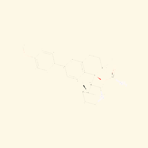 CCOc1ccc(-c2ccc3c(c2)CCC(C)(C)[C@]3(OC(N)=O)[C@@H]2CN3CCC2CC3)cc1